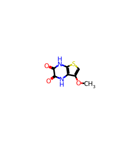 COc1csc2[nH]c(=O)c(=O)[nH]c12